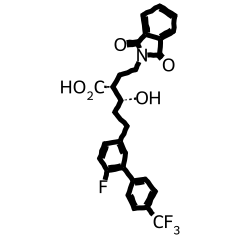 O=C(O)[C@H](CCN1C(=O)c2ccccc2C1=O)[C@H](O)CCc1ccc(F)c(-c2ccc(C(F)(F)F)cc2)c1